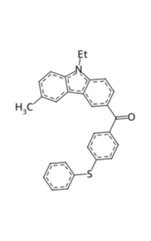 CCn1c2ccc(C)cc2c2cc(C(=O)c3ccc(Sc4ccccc4)cc3)ccc21